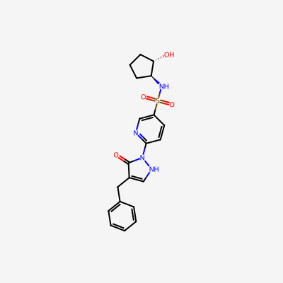 O=c1c(Cc2ccccc2)c[nH]n1-c1ccc(S(=O)(=O)N[C@H]2CCC[C@@H]2O)cn1